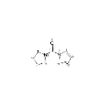 O=C(N1CCCC1)n1cccc1